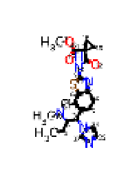 CCC(C(c1ccc2nc(NC(=O)C3(C(=O)OC)CC3)sc2c1)n1ccnc1)N(C)C